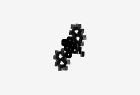 CC(Oc1cccc2ccccc12)OP(=O)(O)Oc1cccc2ccccc12